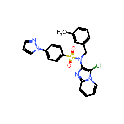 O=S(=O)(c1ccc(-n2cccn2)cc1)N(Cc1cccc(C(F)(F)F)c1)c1nc2ccccn2c1Cl